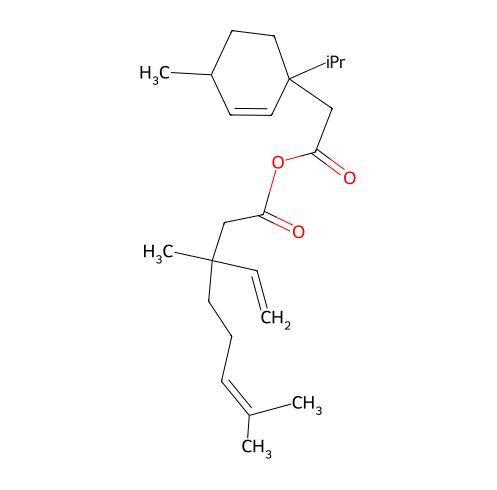 C=CC(C)(CCC=C(C)C)CC(=O)OC(=O)CC1(C(C)C)C=CC(C)CC1